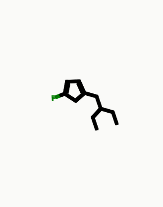 CCC(CC)CC1=CC=C(F)C1